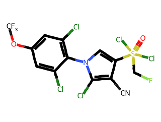 N#Cc1c(S(=O)(Cl)(Cl)CF)cn(-c2c(Cl)cc(OC(F)(F)F)cc2Cl)c1Cl